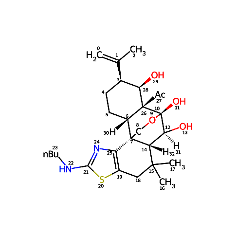 C=C(C)[C@@H]1CC[C@H]2[C@@]34CO[C@@](O)([C@@H](O)[C@@H]3C(C)(C)Cc3sc(NCCCC)nc34)[C@@]2(C(C)=O)[C@@H]1O